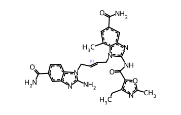 CCc1nc(C)oc1C(=O)Nc1nc2cc(C(N)=O)cc(C)c2n1C/C=C/Cn1c(N)nc2cc(C(N)=O)ccc21